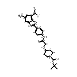 CC(C)(C)OC(=O)N1CCC(OCC(=O)Nc2ccc(-c3nc4cc(N)cc(C(Br)Br)c4o3)cc2)CC1